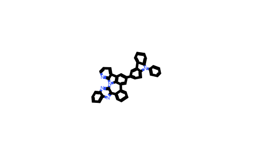 c1ccc(-n2c3ccccc3c3cc(-c4cc5c6c(c4)c4cccnc4n6-c4nc6ccccc6nc4-c4ccccc4-5)ccc32)cc1